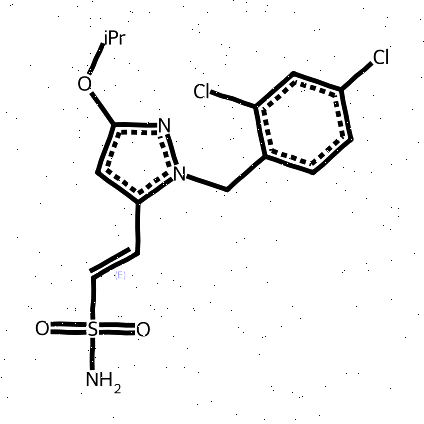 CC(C)Oc1cc(/C=C/S(N)(=O)=O)n(Cc2ccc(Cl)cc2Cl)n1